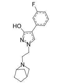 Oc1nn(CCN2CC3CCC2C3)cc1-c1cccc(F)c1